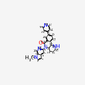 Cn1ccc2cc(N(C(=O)c3cccc(-c4ccncc4)c3)[C@@H]3CCCNC3)ncc21